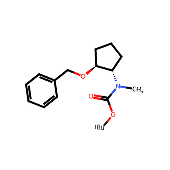 CN(C(=O)OC(C)(C)C)[C@H]1CCC[C@@H]1OCc1ccccc1